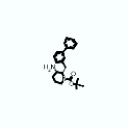 CC(C)(C)OC(=O)N1CCC[C@@H](N)[C@H]1Cc1cccc(-c2ccccc2)c1